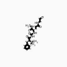 CNC(=O)[C@H](CCC(=O)NCC=O)NC(=O)NC(=O)[C@H](Cc1ccccc1)N(C)C